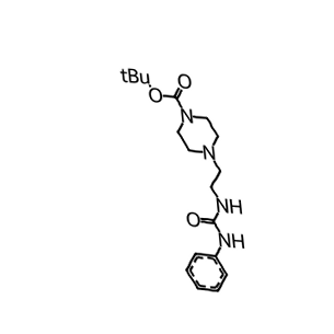 CC(C)(C)OC(=O)N1CCN(CCNC(=O)Nc2ccccc2)CC1